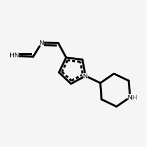 N=C/N=C\c1ccn(C2CCNCC2)c1